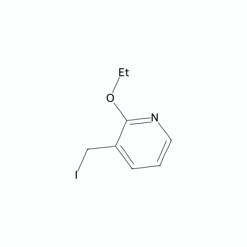 CCOc1ncccc1CI